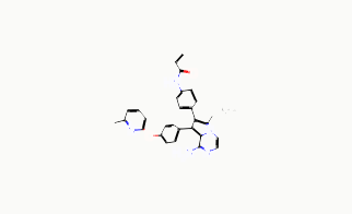 C=CC(=O)Nc1ccc(-c2c(-c3ccc(Oc4cccc(C)n4)cc3)c3c(N)nccn3c2OC)cc1